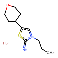 Br.COCCn1cc(C2CCOCC2)sc1=N